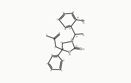 C=C(C)CC1(c2ccccc2)CN(C(C)c2ccccc2Br)C(=O)O1